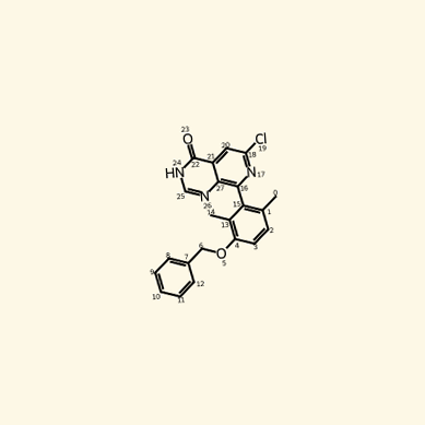 Cc1ccc(OCc2ccccc2)c(C)c1-c1nc(Cl)cc2c(=O)[nH]cnc12